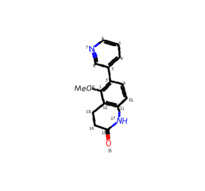 COc1c(-c2cccnc2)ccc2c1CCC(=O)N2